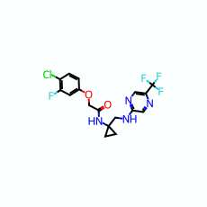 O=C(COc1ccc(Cl)c(F)c1)NC1(CNc2cnc(C(F)(F)F)cn2)CC1